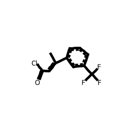 CC(=CC(=O)Cl)c1cccc(C(F)(F)F)c1